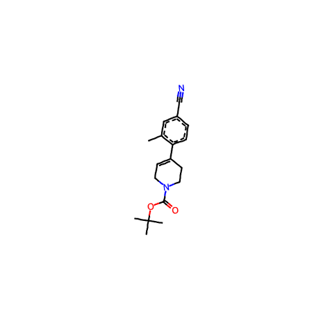 Cc1cc(C#N)ccc1C1=CCN(C(=O)OC(C)(C)C)CC1